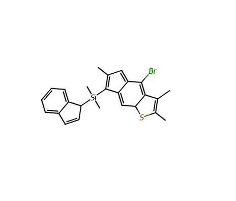 CC1=C([Si](C)(C)C2C=Cc3ccccc32)C2=CC3SC(C)=C(C)C3=C(Br)C2=C1